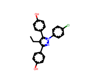 CCc1c(-c2ccc(O)cc2)nn(-c2ccc(Cl)cc2)c1-c1ccc(O)cc1